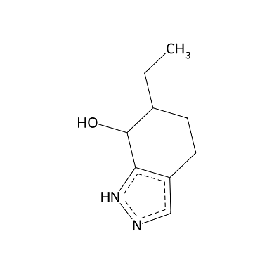 CCC1CCc2cn[nH]c2C1O